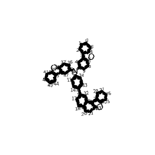 c1ccc2c(c1)oc1ccc(N(c3ccc(-c4ccc5ccc6oc7ccccc7c6c5c4)cc3)c3ccc4oc5ccccc5c4c3)cc12